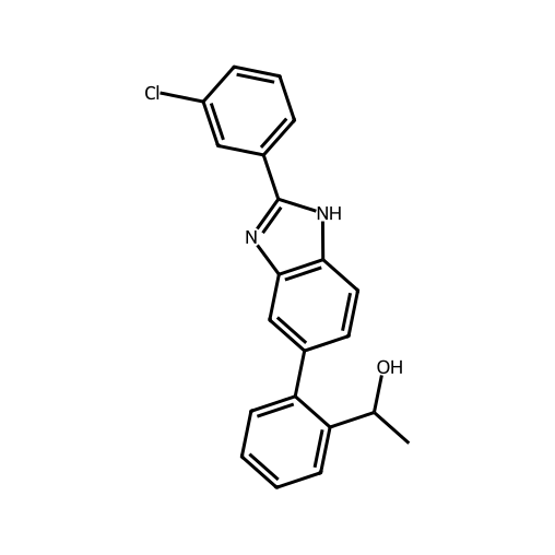 CC(O)c1ccccc1-c1ccc2[nH]c(-c3cccc(Cl)c3)nc2c1